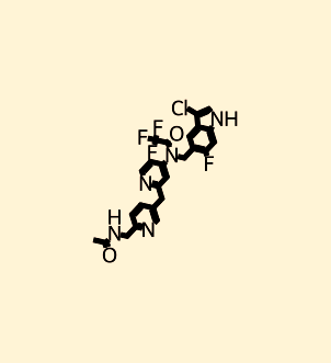 CC(=O)NCc1ccc(Cc2cc(N(Cc3cc4c(Cl)c[nH]c4cc3F)C(=O)C(F)(F)F)ccn2)cn1